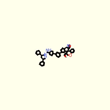 N=C(c1ccc(-c2cccc(-c3ccc4c(c3)C3(c5ccccc5Oc5ccccc53)c3cccnc3-4)c2)cc1)N1C2C(c3ccccc3)=CC(c3ccccc3)=CN21